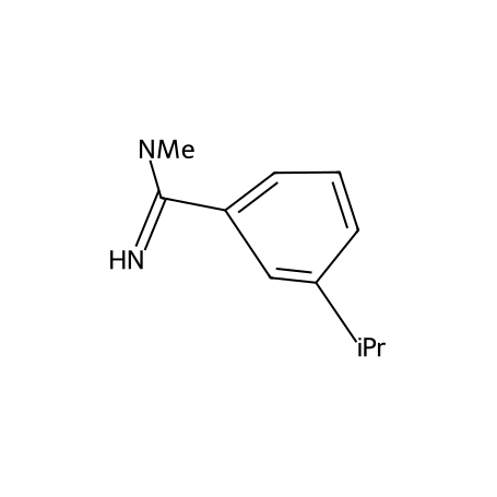 CNC(=N)c1cccc(C(C)C)c1